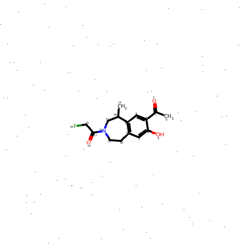 CC(=O)c1cc2c(cc1O)CCN(C(=O)CF)CC2C